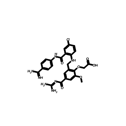 COc1cc(C(=O)N=C(N)N)cc(CNc2ccc(Cl)cc2C(=O)Nc2ccc(C(=N)N)cc2)c1OCC(=O)O